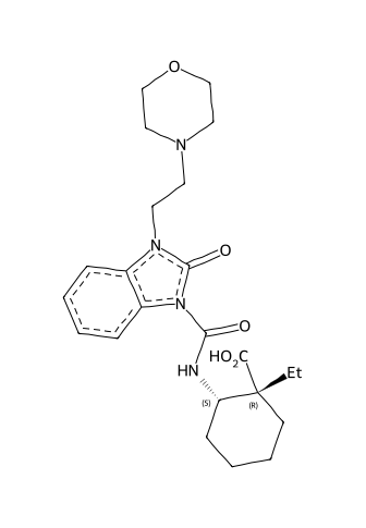 CC[C@@]1(C(=O)O)CCCC[C@@H]1NC(=O)n1c(=O)n(CCN2CCOCC2)c2ccccc21